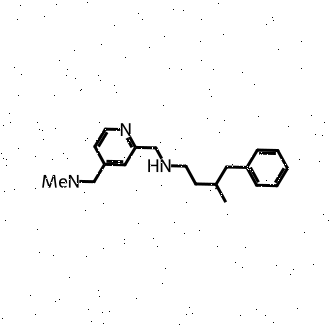 CNCc1ccnc(CNCC[C](C)Cc2ccccc2)c1